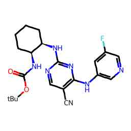 CC(C)(C)OC(=O)N[C@H]1CCCC[C@H]1Nc1ncc(C#N)c(Nc2cncc(F)c2)n1